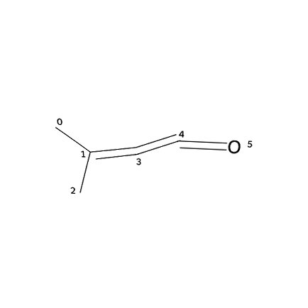 CC(C)=C=C=O